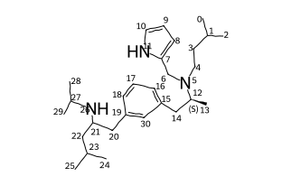 CC(C)CCN(Cc1ccc[nH]1)[C@@H](C)Cc1cccc(CC(CC(C)C)NC(C)C)c1